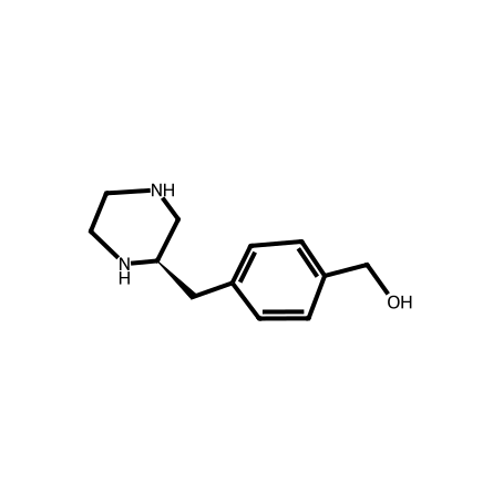 OCc1ccc(C[C@@H]2CNCCN2)cc1